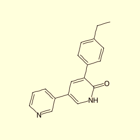 CCc1ccc(-c2cc(-c3cccnc3)c[nH]c2=O)cc1